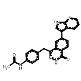 CC(=O)Nc1ccc(Cc2n[nH]c(=O)c3ccc(-c4c[nH]c5ncccc45)cc23)cc1